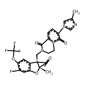 Cc1cn(-c2ccc3n(c2=O)CCN(C[C@@]24C(=O)[C@]2(C)Oc2cc(F)c(OC(F)(F)F)cc24)C3=O)cn1